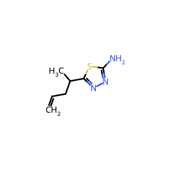 C=CCC(C)c1nnc(N)s1